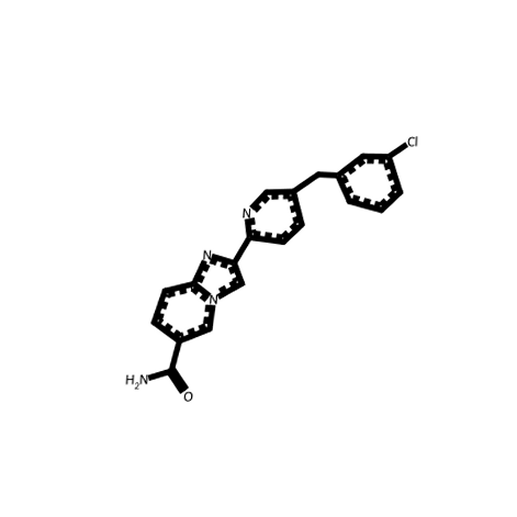 NC(=O)c1ccc2nc(-c3ccc(Cc4cccc(Cl)c4)cn3)cn2c1